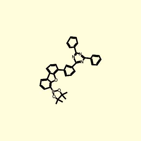 CC1(C)OB(c2cccc3c2oc2c(-c4cccc(-c5nc(-c6ccccc6)nc(-c6ccccc6)n5)c4)cccc23)OC1(C)C